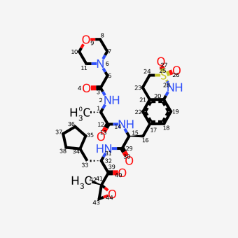 C[C@H](NC(=O)CN1CCOCC1)C(=O)N[C@@H](Cc1ccc2c(c1)CCS(=O)(=O)N2)C(=O)N[C@@H](CC1CCCC1)C(=O)[C@@]1(C)CO1